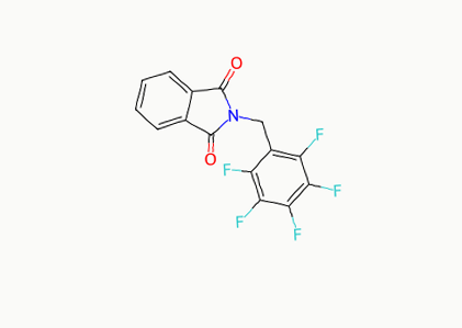 O=C1c2ccccc2C(=O)N1Cc1c(F)c(F)c(F)c(F)c1F